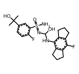 CC(C)(O)c1ccc(F)c([S@](N)(=O)=NC(O)Nc2c3c(c(F)c4c2CCC4)CCC3)c1